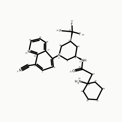 N#Cc1ccc(N2C[C@H](NC(=O)CC3(N)CCCCC3)C[C@H](C(F)(F)F)C2)c2cccnc12